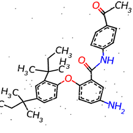 CCC(C)(C)c1ccc(Oc2ccc(N)cc2C(=O)Nc2c[c]c(C(C)=O)cc2)c(C(C)(C)CC)c1